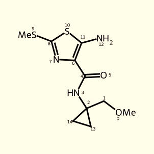 COCC1(NC(=O)c2nc(SC)sc2N)CC1